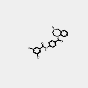 CN1CCN(C(=O)c2ccc(NC(=O)c3cc(Cl)cc(Cl)c3)cc2)c2ccccc2C1